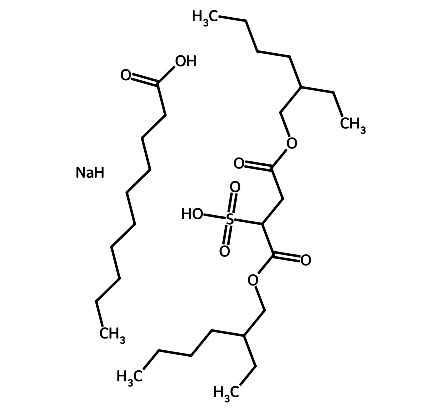 CCCCC(CC)COC(=O)CC(C(=O)OCC(CC)CCCC)S(=O)(=O)O.CCCCCCCCCC(=O)O.[NaH]